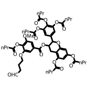 CCCC(=O)Oc1cc(OC(=O)CCC)c2c(c1)OC(c1cc(OC(=O)CCC)c(OC(=O)CCC)c(OC(=O)CCC)c1)C(OC(=O)c1cc(OC)c(OC(=O)CCC)c(OCCCC=O)c1)C2